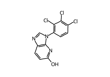 Oc1ccc2ncn(-c3ccc(Cl)c(Cl)c3Cl)c2n1